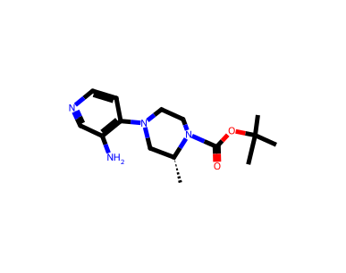 C[C@@H]1CN(c2ccncc2N)CCN1C(=O)OC(C)(C)C